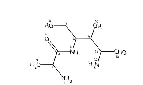 CC(N)C(=O)NC(CO)C(O)C(N)C=O